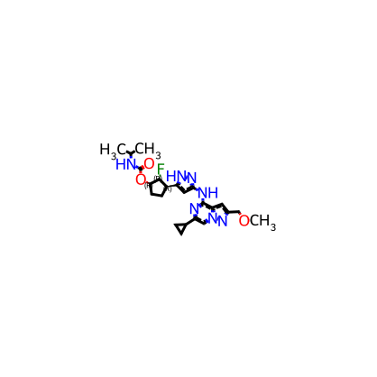 COCc1cc2c(Nc3cc([C@H]4CC[C@@H](OC(=O)NC(C)C)[C@@H]4F)[nH]n3)nc(C3CC3)cn2n1